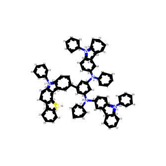 c1ccc(N(c2cc(-c3ccc4c(c3)c3c5sc6ccccc6c5ccc3n4-c3ccccc3)cc(N(c3ccccc3)c3ccc4c(c3)c3ccccc3n4-c3ccccc3)c2)c2ccc3c(c2)c2ccccc2n3-c2ccccc2)cc1